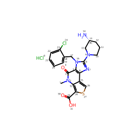 Cl.Cn1c(=O)c2c(nc(N3CCC[C@@H](N)C3)n2Cc2ccccc2Cl)c2csc(C(=O)O)c21